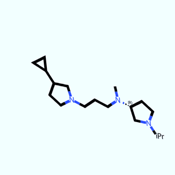 CC(C)N1CC[C@@H](N(C)CCCN2CCC(C3CC3)C2)C1